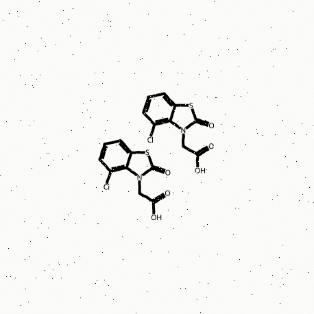 O=C(O)Cn1c(=O)sc2cccc(Cl)c21.O=C(O)Cn1c(=O)sc2cccc(Cl)c21